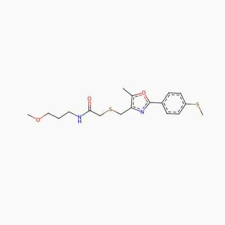 COCCCNC(=O)CSCc1nc(-c2ccc(SC)cc2)oc1C